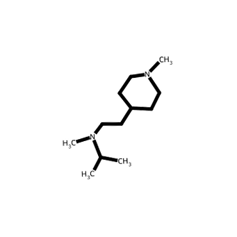 CC(C)N(C)CCC1CCN(C)CC1